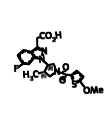 COc1ccc(S(=O)(=O)N2C[C@@H](C)[C@@H](n3nc(CC(=O)O)c4ccc(F)cc43)C2)s1